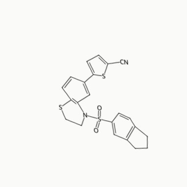 N#Cc1ccc(-c2ccc3c(c2)N(S(=O)(=O)c2ccc4c(c2)CCC4)CCS3)s1